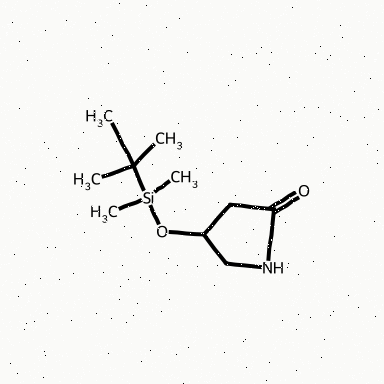 CC(C)(C)[Si](C)(C)OC1CNC(=O)C1